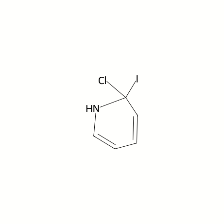 ClC1(I)C=CC=CN1